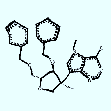 Cn1cc([C@@]2(F)CO[C@H](COCc3ccccc3)[C@H]2OCc2ccccc2)c2ncnc(Cl)c21